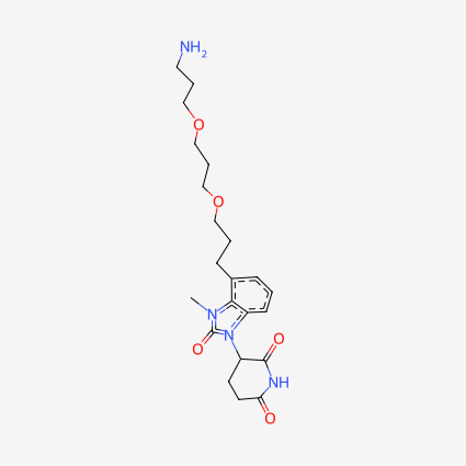 Cn1c(=O)n(C2CCC(=O)NC2=O)c2cccc(CCCOCCCOCCCN)c21